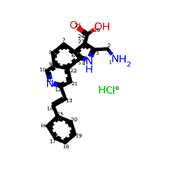 Cl.NCc1[nH]c2c(ccc3cnc(C=Cc4ccccc4)cc32)c1C(=O)O